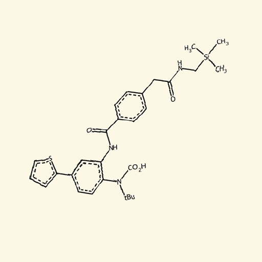 CC(C)(C)N(C(=O)O)c1ccc(-c2cccs2)cc1NC(=O)c1ccc(CC(=O)NC[Si](C)(C)C)cc1